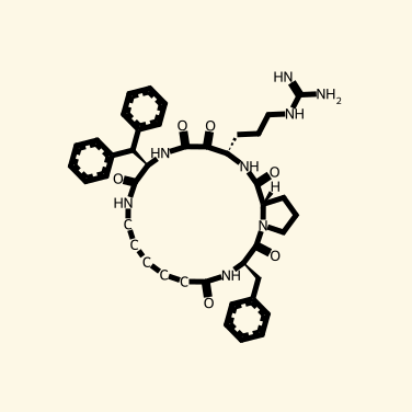 N=C(N)NCCC[C@@H]1NC(=O)[C@@H]2CCCN2C(=O)[C@@H](Cc2ccccc2)NC(=O)CCCCCNC(=O)[C@@H](C(c2ccccc2)c2ccccc2)NC(=O)C1=O